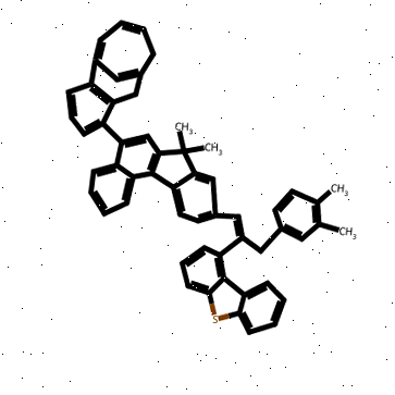 Cc1ccc(C/C(=C/c2ccc3c(c2)C(C)(C)c2cc(-c4cccc5c4CC4=CC5=CC=CC4)c4ccccc4c2-3)c2cccc3sc4ccccc4c23)cc1C